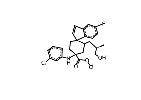 C[C@@H](CO)CC1CC(Nc2cccc(Cl)c2)(C(=O)OCl)CCC12C=Cc1cc(F)ccc12